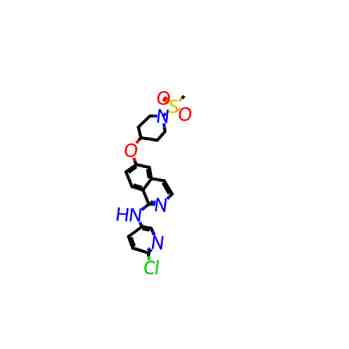 CS(=O)(=O)N1CCC(Oc2ccc3c(Nc4ccc(Cl)nc4)nccc3c2)CC1